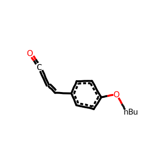 CCCCOc1ccc(C=C=C=O)cc1